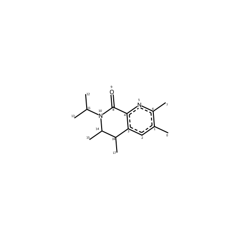 Cc1cc2c(nc1C)C(=O)N(C(C)C)C(C)C2C